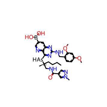 CCCC[C@](C)(CNC(=O)c1cnn(C)c1)[AsH]c1nc(NCc2ccc(OC)cc2OC)nc2cc(B(O)O)cnc12